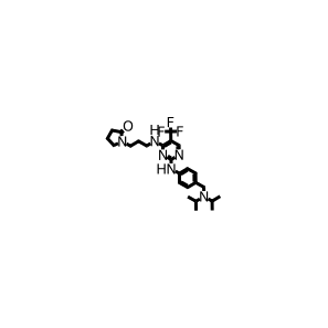 CC(C)N(Cc1ccc(Nc2ncc(C(F)(F)F)c(NCCCN3CCCC3=O)n2)cc1)C(C)C